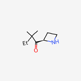 CCC(C)(C)C(=O)[C@H]1CCN1